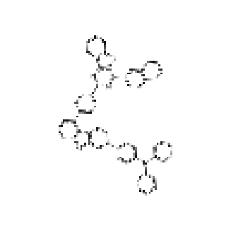 c1ccc(N(c2ccccc2)c2ccc(-c3ccc4c(c3)oc3cccc(-c5ccc(-c6nc(-c7ccc8ccccc8c7)c7oc8ccccc8c7n6)cc5)c34)cc2)cc1